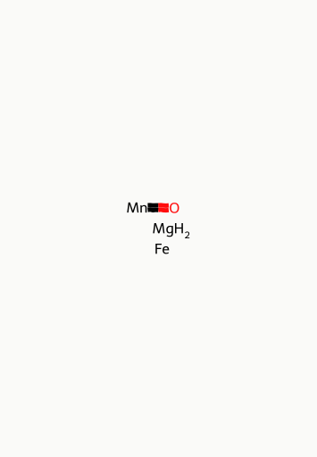 [Fe].[MgH2].[O]=[Mn]